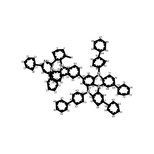 Cc1cccc(-c2nc(-c3ccccc3)cc(-c3ccccc3)n2)c1-n1c2ccccc2c2cc(-c3cc4c5c(c3)N(c3ccc(-c6ccccc6)cc3)c3ccc(-c6ccccc6)cc3B5c3cc(-c5ccccc5)ccc3N4c3ccc(-c4ccccc4)cc3)ccc21